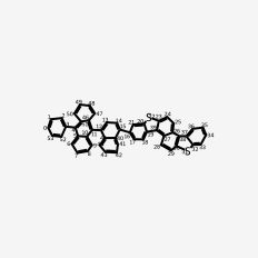 c1ccc(-c2c3ccccc3c(-c3ccc(-c4ccc5c(c4)sc4ccc6c(ccc7sc8ccccc8c76)c45)c4ccccc34)c3ccccc23)cc1